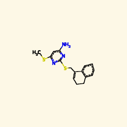 CSc1cc(N)nc(SCC2=CCCc3ccccc32)n1